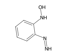 N=Nc1ccccc1NO